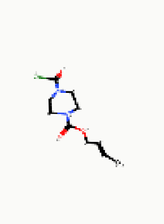 O=C(Cl)N1CCN(C(=O)OCC=CC(F)(F)F)CC1